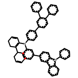 C1=CCC(C2=C(N(c3ccc(-c4ccc(-c5ccccc5)c(-c5ccccc5)c4)cc3)c3cccc(-c4ccc5c(c4)c4ccccc4n5-c4ccccc4)c3)C=CCC2)C=C1